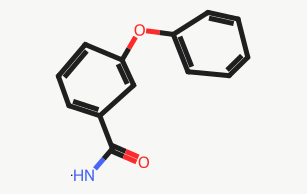 [NH]C(=O)c1cccc(Oc2ccccc2)c1